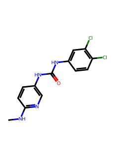 CNc1ccc(NC(=O)Nc2ccc(Cl)c(Cl)c2)cn1